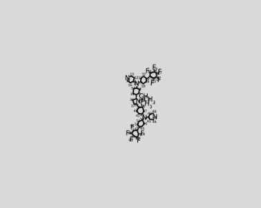 CC(C)(C)n1c(-c2ccc(N(c3ccncc3)c3ccc(-c4c(F)c(F)c(F)c(F)c4F)cc3)cc2)ccc1-c1ccc(N(c2ccncc2)c2ccc(-c3c(F)c(F)c(F)c(F)c3F)cc2)cc1